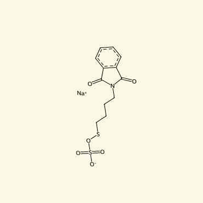 O=C1c2ccccc2C(=O)N1CCCCSOS(=O)(=O)[O-].[Na+]